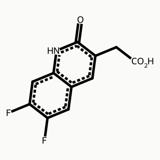 O=C(O)Cc1cc2cc(F)c(F)cc2[nH]c1=O